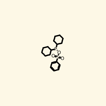 O=S(=O)(OP(C1CCCCC1)C1CCCCC1)c1ccccc1